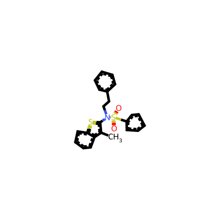 Cc1c(N(CCc2ccccc2)S(=O)(=O)c2ccccc2)sc2ccccc12